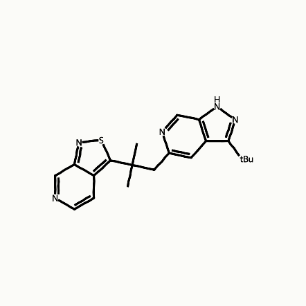 CC(C)(C)c1n[nH]c2cnc(CC(C)(C)c3snc4cnccc34)cc12